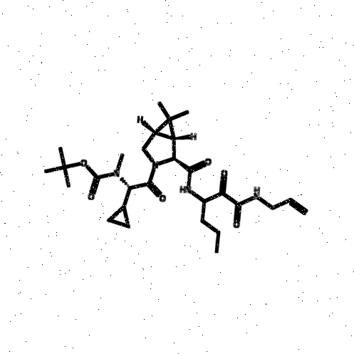 C=CCNC(=O)C(=O)C(CCC)NC(=O)[C@@H]1[C@@H]2[C@H](CN1C(=O)[C@H](C1CC1)N(C)C(=O)OC(C)(C)C)C2(C)C